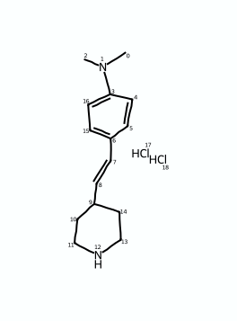 CN(C)c1ccc(/C=C/C2CCNCC2)cc1.Cl.Cl